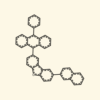 c1ccc(-c2c3ccccc3c(-c3ccc4oc5ccc(-c6ccc7ccccc7c6)cc5c4c3)c3ccccc23)cc1